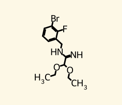 CCOC(OCC)C(=N)NCc1cccc(Br)c1F